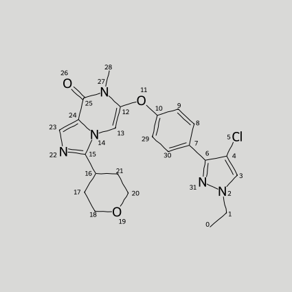 CCn1cc(Cl)c(-c2ccc(Oc3cn4c(C5CCOCC5)ncc4c(=O)n3C)cc2)n1